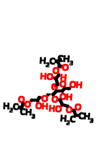 C=C(C)C(=O)OCC(O)COC[C@@H](OCC(O)COC(=O)C(=C)C)[C@@H](OCC(O)COC(=O)C(=C)C)[C@H](O)[C@H](O)CO